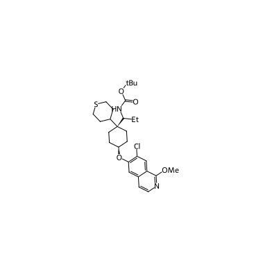 CCC(NC(=O)OC(C)(C)C)[C@]1(C2CCSCC2)CC[C@H](Oc2cc3ccnc(OC)c3cc2Cl)CC1